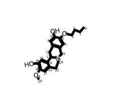 CCCCOc1cc2c(cc1O)CC1c3cc(O)c(OC)cc3CCN1C2